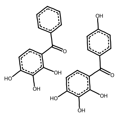 O=C(c1ccc(O)cc1)c1ccc(O)c(O)c1O.O=C(c1ccccc1)c1ccc(O)c(O)c1O